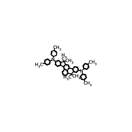 CC1=CCC(N(c2ccc(C)cc2)c2ccc3c(c2)C(C)(C)c2cc4c5c(cccc5c2-3)C(C)(C)c2cc(N(c3ccc(C)cc3)c3ccc(C)cc3)ccc2-4)C=C1